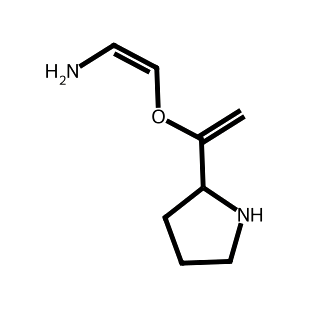 C=C(O/C=C\N)C1CCCN1